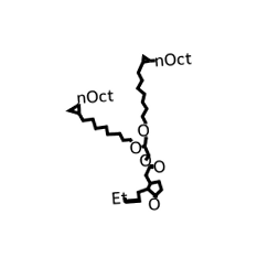 CC/C=C\CC1C(=O)CCC1CC(=O)OCC(COCCCCCCCCC1CC1CCCCCCCC)OCCCCCCCCC1CC1CCCCCCCC